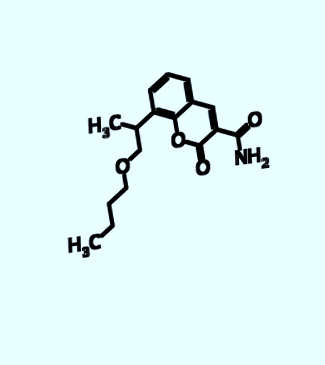 CCCCOCC(C)c1cccc2cc(C(N)=O)c(=O)oc12